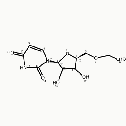 O=CCOC[C@@H]1O[C@H](n2ccc(=O)[nH]c2=O)C(O)C1O